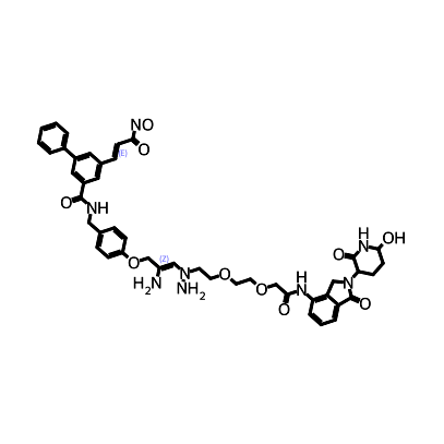 N/C(=C\N(N)CCOCCOCC(=O)Nc1cccc2c1CN(C1CCC(O)NC1=O)C2=O)COc1ccc(CNC(=O)c2cc(/C=C/C(=O)N=O)cc(-c3ccccc3)c2)cc1